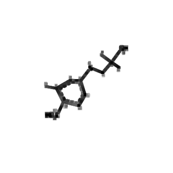 Cc1cc(SCC(C)(C)O)ccc1C(=O)O